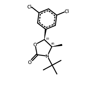 C[C@@H]1[C@H](c2cc(Cl)cc(Cl)c2)OC(=O)N1C(C)(C)C